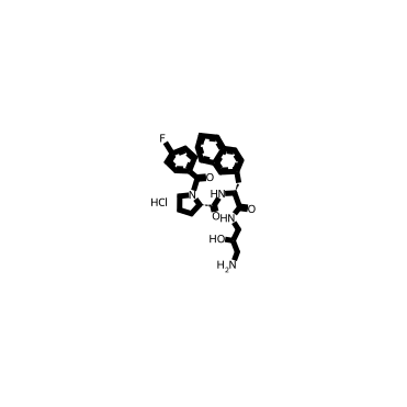 Cl.NCC(O)CNC(=O)[C@@H](Cc1ccc2ccccc2c1)NC(=O)[C@@H]1CCCN1C(=O)c1ccc(F)cc1